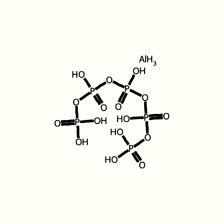 O=P(O)(O)OP(=O)(O)OP(=O)(O)OP(=O)(O)OP(=O)(O)O.[AlH3]